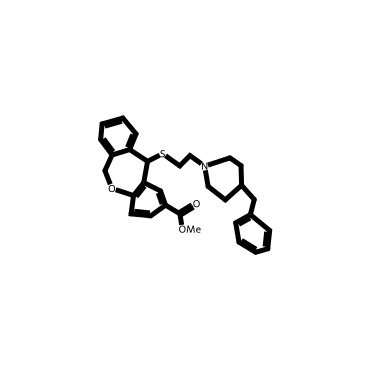 COC(=O)c1ccc2c(c1)C(SCCN1CCC(Cc3ccccc3)CC1)c1ccccc1CO2